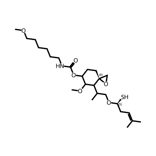 COCCCCCCNC(=O)OC1CC[C@]2(CO2)C(C(C)CO[C@@H](S)CC=C(C)C)C1OC